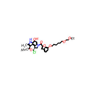 CCOCCOCCCCCCOc1cccc2cc(C(=O)N3C[C@@H](CCl)c4c3cc(O)c3[nH]c(C)c(C(=O)OC)c43)oc12